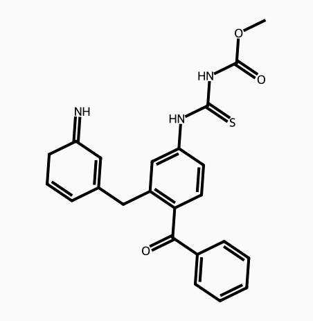 COC(=O)NC(=S)Nc1ccc(C(=O)c2ccccc2)c(CC2=CC(=N)CC=C2)c1